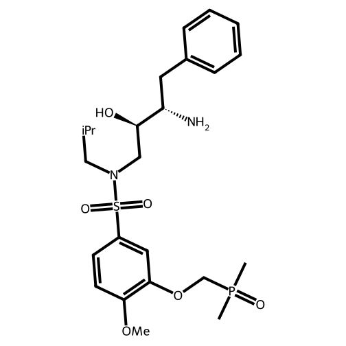 COc1ccc(S(=O)(=O)N(CC(C)C)C[C@@H](O)[C@@H](N)Cc2ccccc2)cc1OCP(C)(C)=O